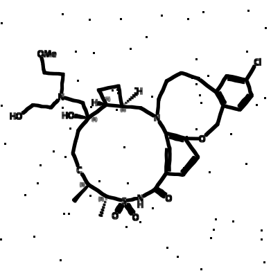 COCCN(CCO)C[C@@]1(O)CCC[C@H](C)[C@@H](C)S(=O)(=O)NC(=O)c2ccc3c(c2)N(CCCCc2cc(Cl)ccc2CO3)C[C@@H]2CC[C@H]21